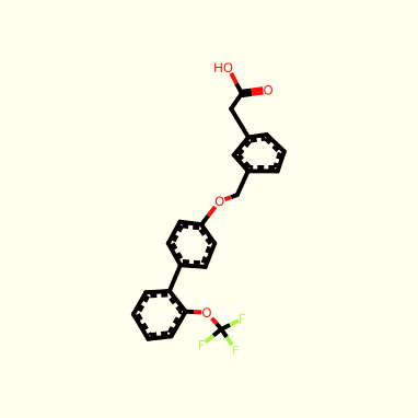 O=C(O)Cc1cccc(COc2ccc(-c3ccccc3OC(F)(F)F)cc2)c1